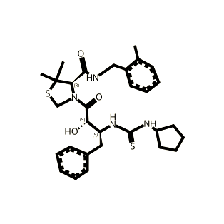 Cc1ccccc1CNC(=O)[C@H]1N(C(=O)[C@@H](O)[C@H](Cc2ccccc2)NC(=S)NC2CCCC2)CSC1(C)C